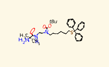 CC(C)(C)OC(=O)N(CCCCCCSC(c1ccccc1)(c1ccccc1)c1ccccc1)CCNC(=O)C(C)(C)N